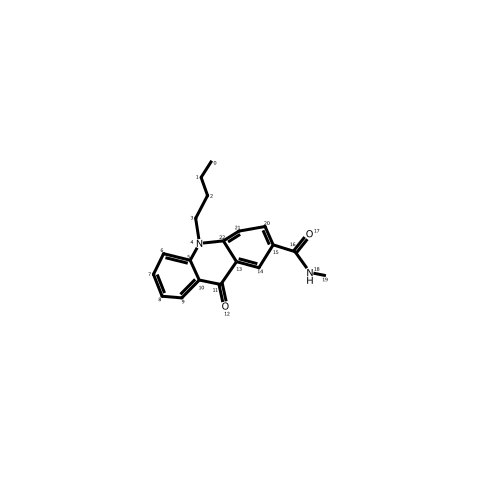 CCCCn1c2ccccc2c(=O)c2cc(C(=O)NC)ccc21